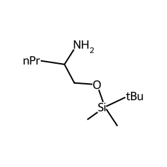 CCCC(N)CO[Si](C)(C)C(C)(C)C